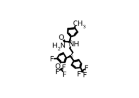 Cc1ccc([C@H](NCC[C@@H](c2ccc(C(F)(F)F)cc2)c2ccc(F)c(OC(F)(F)F)c2)C(N)=O)cc1